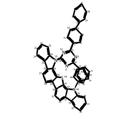 c1ccc(-c2ccc(-c3nc(-c4ccccc4)nc(-n4c5ccccc5c5ccc6c7ccc8c9ccccc9n(-c9ccccc9)c8c7sc6c54)n3)cc2)cc1